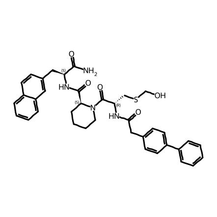 NC(=O)[C@H](Cc1ccc2ccccc2c1)NC(=O)[C@@H]1CCCCN1C(=O)[C@H](CSCO)NC(=O)Cc1ccc(-c2ccccc2)cc1